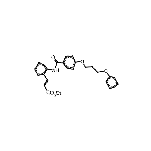 CCOC(=O)/C=C/c1ccccc1NC(=O)c1ccc(OCCCOc2ccccc2)cc1